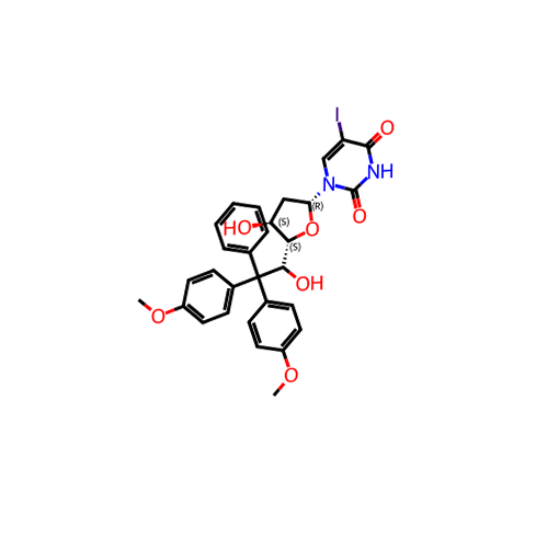 COc1ccc(C(c2ccccc2)(c2ccc(OC)cc2)C(O)[C@H]2O[C@@H](n3cc(I)c(=O)[nH]c3=O)C[C@@H]2O)cc1